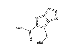 CCCCOc1c(C(=O)OC)sc2ccsc12